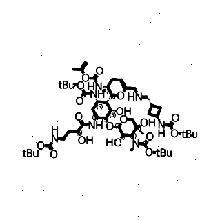 C=C(C)OC(=O)N[C@@H]1CC=C(CNC[C@H]2C[C@H](NC(=O)OC(C)(C)C)C2)O[C@@H]1C1[C@@H](NC(=O)OC(C)(C)C)C[C@@H](NC(=O)[C@@H](O)CCNC(=O)OC(C)(C)C)[C@H](O[C@H]2OC[C@](C)(O)[C@H](N(C)C(=O)OC(C)(C)C)[C@H]2O)[C@H]1O